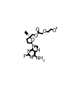 C#C[C@@]1(COC(=O)COCCOC)CC[C@H](n2cnc3c(N)nc(F)nc32)O1